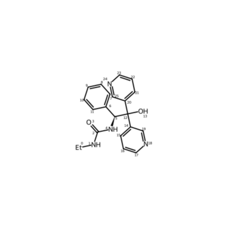 CCNC(=O)N[C@@H](c1ccccc1)C(O)(c1cccnc1)c1cccnc1